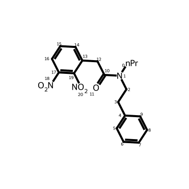 CCCN(CCc1ccccc1)C(=O)Cc1cccc([N+](=O)[O-])c1[N+](=O)[O-]